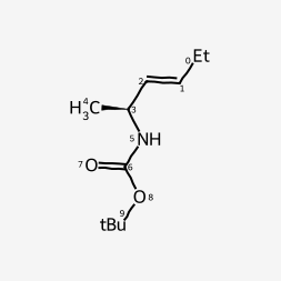 CC/C=C/[C@H](C)NC(=O)OC(C)(C)C